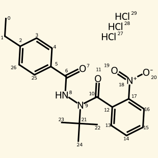 CCc1ccc(C(=O)NN(C(=O)c2ccccc2[N+](=O)[O-])C(C)(C)C)cc1.Cl.Cl.Cl